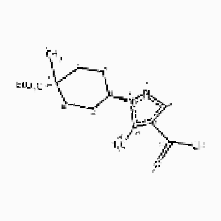 CCOC(=O)[C@]1(C)CC[C@@H](n2ncc(C(=O)Cl)c2C)CC1